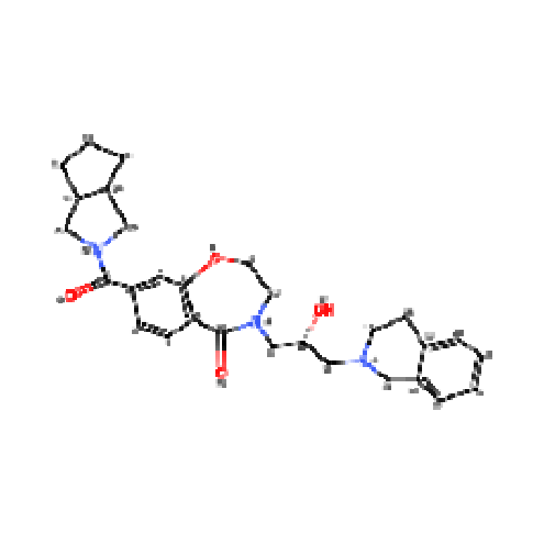 O=C(c1ccc2c(c1)OCCN(C[C@H](O)CN1CCc3ccccc3C1)C2=O)N1CC2CCCC2C1